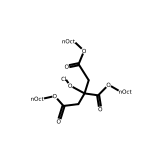 CCCCCCCCOC(=O)CC(CC(=O)OCCCCCCCC)(OCl)C(=O)OCCCCCCCC